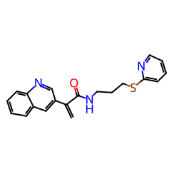 C=C(C(=O)NCCCSc1ccccn1)c1cnc2ccccc2c1